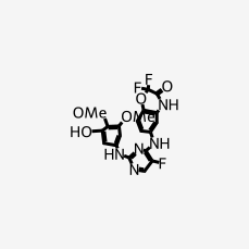 COc1cc(Nc2ncc(F)c(Nc3ccc4c(c3)NC(=O)C(F)(F)O4)n2)cc(O)c1OC